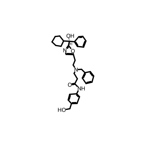 O=C(CCN(CCc1cnc([C@](O)(c2ccccc2)C2CCCCC2)o1)Cc1ccccc1)Nc1ccc(CO)cc1